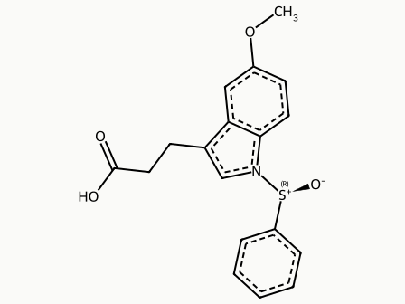 COc1ccc2c(c1)c(CCC(=O)O)cn2[S@@+]([O-])c1ccccc1